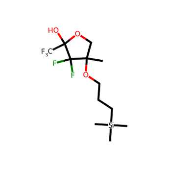 CC1(OCCC[Si](C)(C)C)COC(O)(C(F)(F)F)C1(F)F